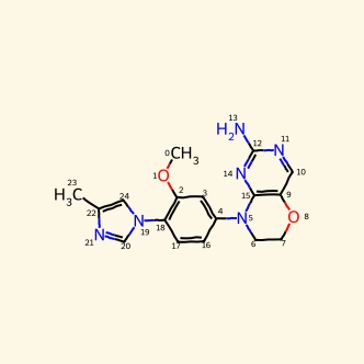 COc1cc(N2CCOc3cnc(N)nc32)ccc1-n1cnc(C)c1